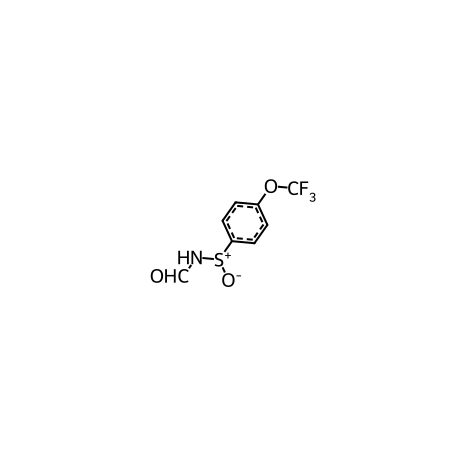 O=CN[S+]([O-])c1ccc(OC(F)(F)F)cc1